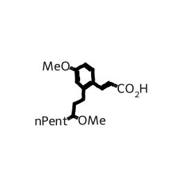 CCCCCC(CCc1cc(OC)ccc1C=CC(=O)O)OC